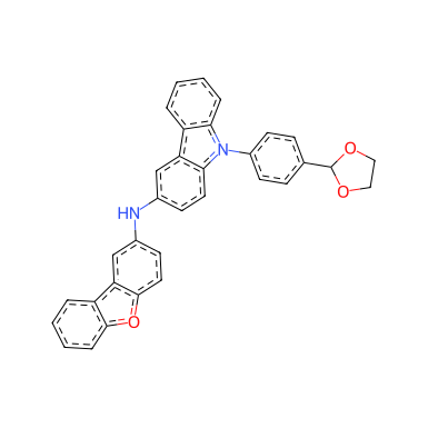 c1ccc2c(c1)oc1ccc(Nc3ccc4c(c3)c3ccccc3n4-c3ccc(C4OCCO4)cc3)cc12